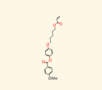 C=CC(=O)OCCCCCOc1ccc(OC(=O)c2ccc(OC)cc2)cc1